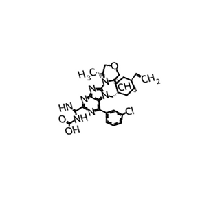 C=C[C@H]1CC[C@H](Cn2c(N3[C@H](C)COC[C@H]3C)nc3nc(C(=N)NC(=O)O)nc(-c4cccc(Cl)c4)c32)CC1